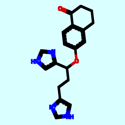 O=C1CCCc2cc(OC(CCc3c[nH]cn3)c3c[nH]cn3)ccc21